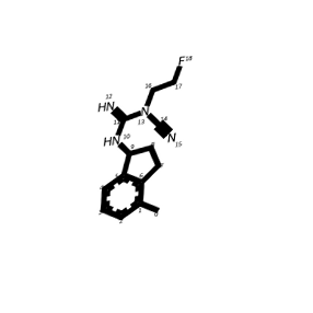 Cc1cccc2c1CCC2NC(=N)N(C#N)CCF